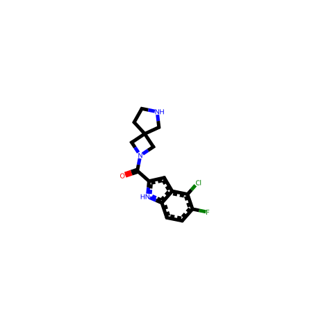 O=C(c1cc2c(Cl)c(F)ccc2[nH]1)N1CC2(CCNC2)C1